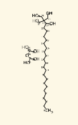 CCCCCCCCCCCCCCCCCCCCCCC(O)C(CO)(CO)CO.OP(O)OP(O)O